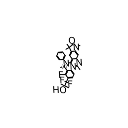 Cc1nc(N(c2ccccc2)[C@H](C)c2cccc(C(F)(F)C(C)(C)O)c2F)c2cc3c(cc2n1)N(C)C(=O)C3(C)C